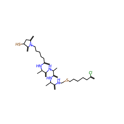 C=C(Cl)CCCCCSCNC(=C)C(C)NC(=C)C(C)NC(=C)C(C)NC(=C)CCCCCN1C(=C)CC(S)C1=C